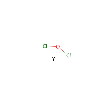 ClOCl.[Y]